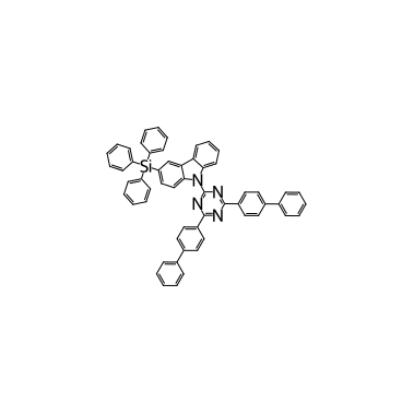 c1ccc(-c2ccc(-c3nc(-c4ccc(-c5ccccc5)cc4)nc(-n4c5ccccc5c5cc([Si](c6ccccc6)(c6ccccc6)c6ccccc6)ccc54)n3)cc2)cc1